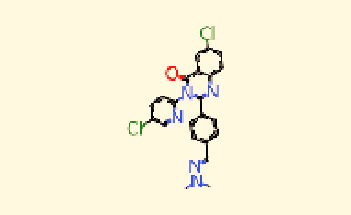 CN(C)N=Cc1ccc(-c2nc3ccc(Cl)cc3c(=O)n2-c2ccc(Cl)cn2)cc1